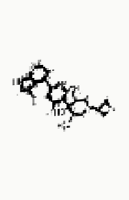 C[C@@H]1CN(C2COC2)C[C@H](C)C1(O)c1cnc(-c2ccnc3[nH]cc(F)c23)cc1F